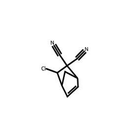 N#CC1(C#N)C2C=CC(C2)C1Cl